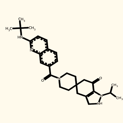 CC(C)N1NCC2=C1C(=O)CC1(CCN(C(=O)c3ccc4ccc(NC(C)(C)C)nc4c3)CC1)C2